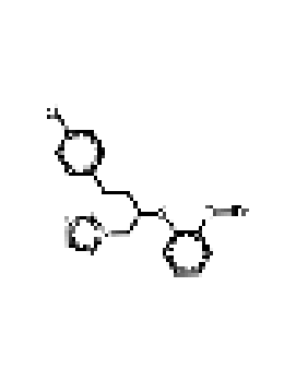 CC(C)Oc1ccccc1SC(CCc1ccc(Cl)cc1)Cn1ccnc1